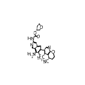 Cc1c(-c2cc3cc(NC(=O)O[C@@H]4CCOC4)ncc3c(N)c2F)cnc2c1[C@@H](C#N)CCO2